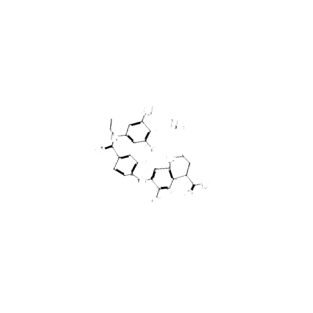 CCN(C(=O)c1ccc(Oc2cc3c(cc2Cl)C(C(=O)[O-])CCO3)cc1)c1cc(Cl)cc(Cl)c1.[Na+]